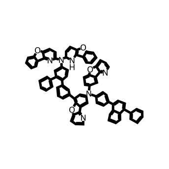 C1=CC(N(c2ccc(-c3cccc(-c4cc(N(c5ccc(-c6ccc(-c7ccccc7)c7ccccc67)cc5)c5ccc6oc7cccnc7c6c5)cc5c4oc4cccnc45)c3)c(-c3ccccc3)c2)c2ccc3oc4ccccc4c3n2)Nc2c1oc1ccccc21